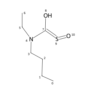 CCCCN(CC)C(O)=S=O